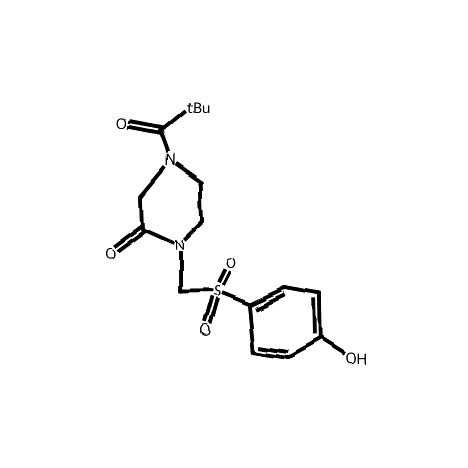 CC(C)(C)C(=O)N1CCN(CS(=O)(=O)c2ccc(O)cc2)C(=O)C1